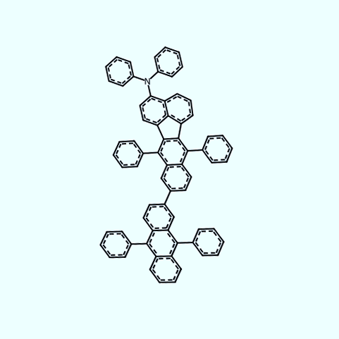 c1ccc(-c2c3c(c(-c4ccccc4)c4cc(-c5ccc6c(-c7ccccc7)c7ccccc7c(-c7ccccc7)c6c5)ccc24)-c2ccc(N(c4ccccc4)c4ccccc4)c4cccc-3c24)cc1